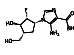 NC(=O)c1ncn([C@@H]2C[C@H](CO)[C@@H](O)[C@@H]2F)c1N